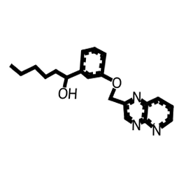 CCCCCC(O)c1cccc(OCc2cnc3ncccc3n2)c1